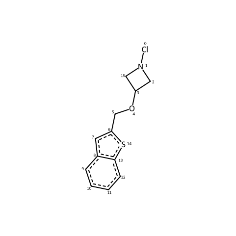 ClN1CC(OCc2cc3ccccc3s2)C1